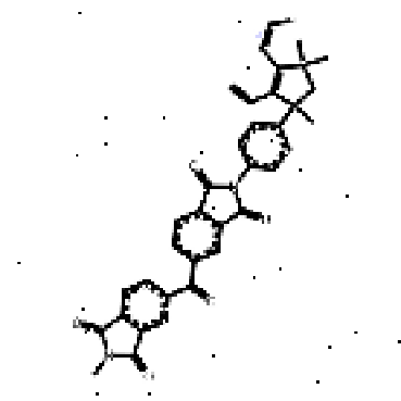 C=CC1=C(/C=C\C)C(C)(C)CC1(C)c1ccc(N2C(=O)c3ccc(C(=O)c4ccc5c(c4)C(=O)N(C)C5=O)cc3C2=O)cc1